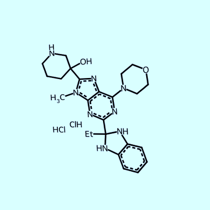 CCC1(c2nc(N3CCOCC3)c3nc(C4(O)CCCNC4)n(C)c3n2)Nc2ccccc2N1.Cl.Cl